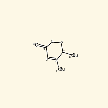 CC(C)(C)C1=CC(=O)CCC1C(C)(C)C